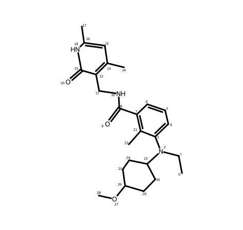 CCN(c1cccc(C(=O)NCc2c(C)cc(C)[nH]c2=O)c1C)C1CCC(OC)CC1